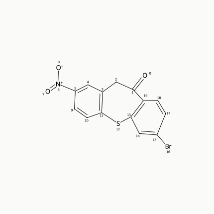 O=C1Cc2cc([N+](=O)[O-])ccc2Sc2cc(Br)ccc21